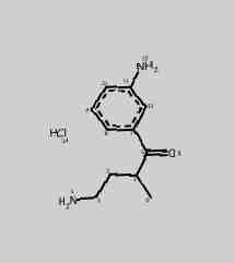 CC(CCN)C(=O)c1cccc(N)c1.Cl